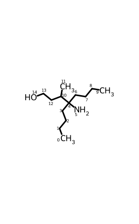 CCCCC(N)(CCCC)C(C)CCO